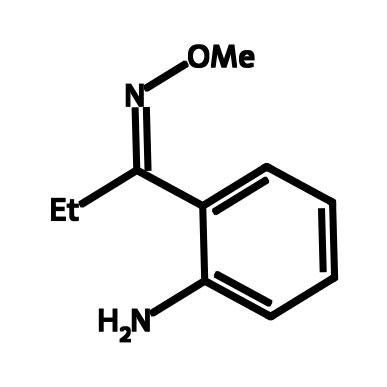 CC/C(=N/OC)c1ccccc1N